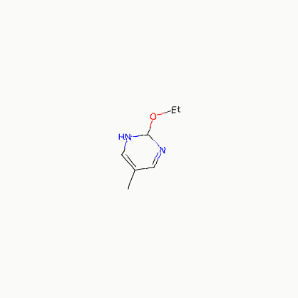 CCOC1N=CC(C)=CN1